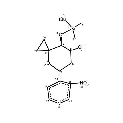 CC(C)(C)[Si](C)(C)O[C@H]1[C@H](O)C[C@H](c2ccncc2[N+](=O)[O-])OC12CC2